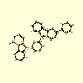 CC1CC=Cc2c1c1ccccc1n2-c1cccc(-n2c3ccc(-c4ccccc4)cc3c3cccnc32)c1